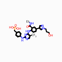 CCNC(=O)c1cc(-c2cnn(CCCO)c2)ccc1Nc1nc(Nc2ccc(CP(=O)(O)O)cc2)ncc1C(F)(F)F